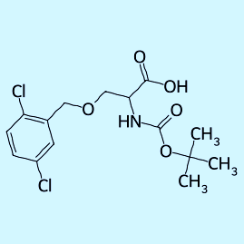 CC(C)(C)OC(=O)NC(COCc1cc(Cl)ccc1Cl)C(=O)O